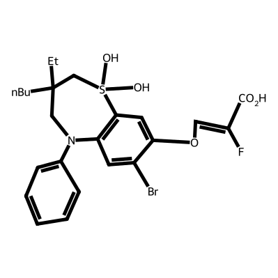 CCCCC1(CC)CN(c2ccccc2)c2cc(Br)c(OC=C(F)C(=O)O)cc2S(O)(O)C1